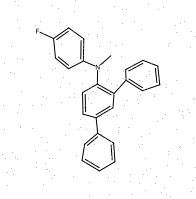 CN(c1ccc(F)cc1)c1ccc(-c2ccccc2)cc1-c1ccccc1